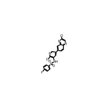 O=S(=O)(Nc1cc(-c2ccc3ncc(Cl)nc3c2)cnc1Cl)c1ccc(F)cc1